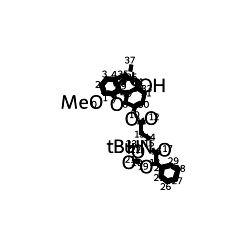 COc1ccc2c3c1OC1C(OC(=O)CCNC(=O)C(OC(=O)OC(C)(C)C)c4ccccc4)=CCC4(O)C(C2)N(C)CCC314